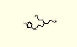 OCCN(CCO)CCO.c1c[nH]cn1